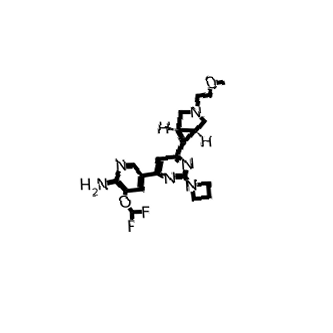 COCCN1C[C@@H]2C(c3cc(-c4cnc(N)c(OC(F)F)c4)nc(N4CCC4)n3)[C@@H]2C1